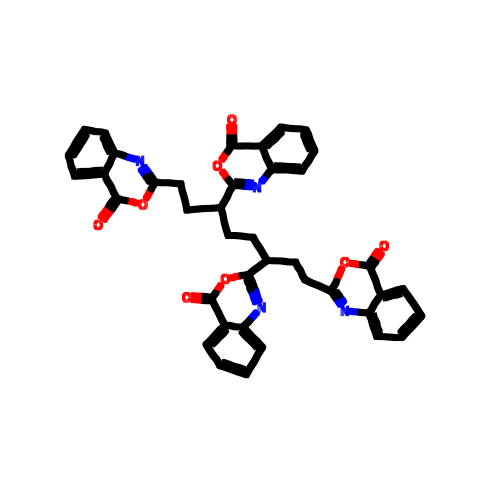 O=c1oc(CCC(CCC(CCc2nc3ccccc3c(=O)o2)c2nc3ccccc3c(=O)o2)c2nc3ccccc3c(=O)o2)nc2ccccc12